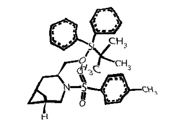 Cc1ccc(S(=O)(=O)N2C[C@@H]3CC3C[C@H]2CO[Si](c2ccccc2)(c2ccccc2)C(C)(C)C)cc1